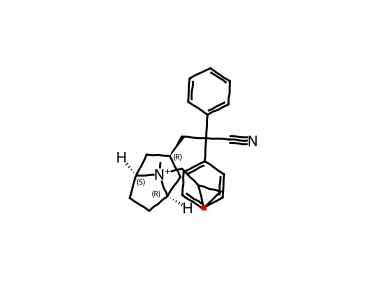 C[N+]1(CC2CC2)[C@@H]2CC[C@H]1C[C@@H](CC(C#N)(c1ccccc1)c1ccccc1)C2